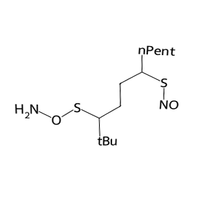 CCCCCC(CCC(SON)C(C)(C)C)SN=O